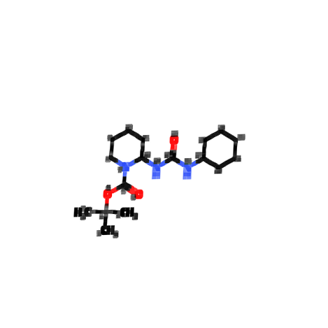 CC(C)(C)OC(=O)N1CCCCC1NC(=O)NC1CCCCC1